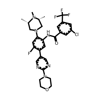 C[C@@H]1CN(c2cc(F)c(-c3cnc(N4CCOCC4)nc3)cc2NC(=O)c2cc(Cl)cc(C(F)(F)F)c2)C[C@H](C)N1C